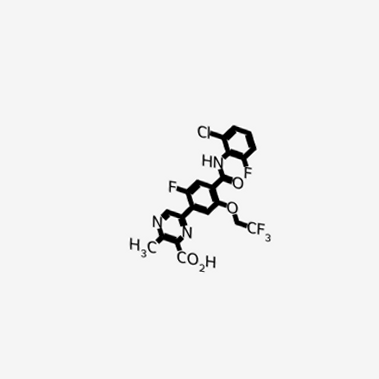 Cc1ncc(-c2cc(OCC(F)(F)F)c(C(=O)Nc3c(F)cccc3Cl)cc2F)nc1C(=O)O